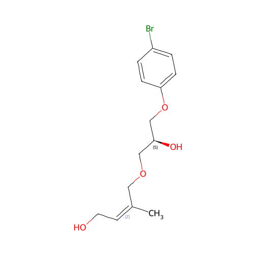 C/C(=C/CO)COC[C@H](O)COc1ccc(Br)cc1